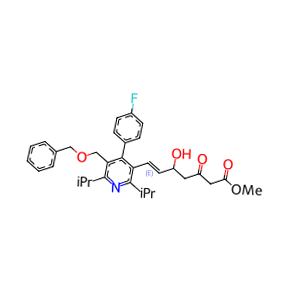 COC(=O)CC(=O)CC(O)/C=C/c1c(C(C)C)nc(C(C)C)c(COCc2ccccc2)c1-c1ccc(F)cc1